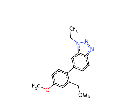 COCc1cc(OC(F)(F)F)ccc1-c1ccc2nnn(CC(F)(F)F)c2c1